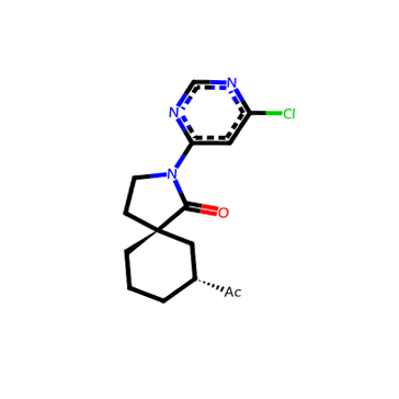 CC(=O)[C@@H]1CCC[C@]2(CCN(c3cc(Cl)ncn3)C2=O)C1